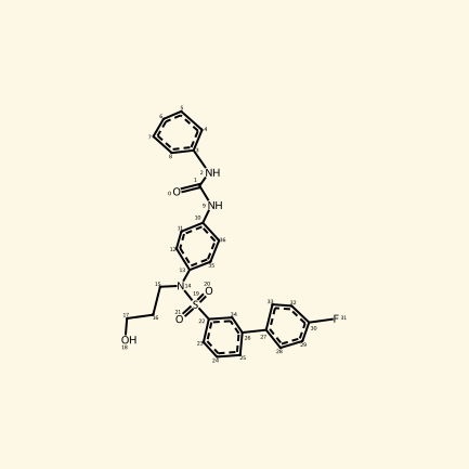 O=C(Nc1ccccc1)Nc1ccc(N(CCCO)S(=O)(=O)c2cccc(-c3ccc(F)cc3)c2)cc1